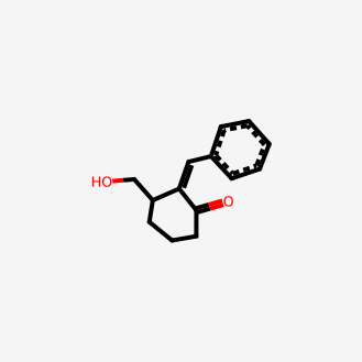 O=C1CCCC(CO)/C1=C/c1ccccc1